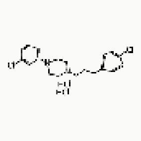 Cl.Cl.Clc1ccc(CCCN2CCN(c3cccc(Cl)c3)CC2)cc1